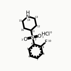 Cl.O=S(=O)(c1ccccc1F)C1CCNCC1